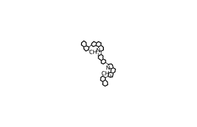 Cc1ccc2ccccc2c1-c1ccc2ccc3ccc(-c4ccc5ccc(-c6ccc7ccc8ccc(-c9c(C)ccc%10ccccc9%10)cc8c7n6)cc5c4)nc3c2c1